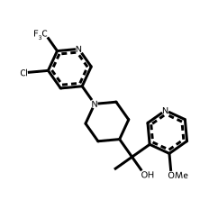 COc1ccncc1C(C)(O)C1CCN(c2cnc(C(F)(F)F)c(Cl)c2)CC1